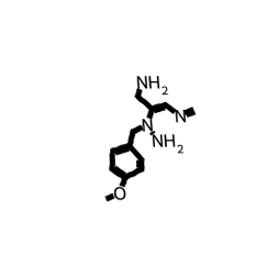 C=N/C=C(/CN)N(N)Cc1ccc(OC)cc1